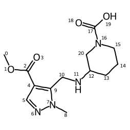 COC(=O)c1cnn(C)c1CNC1CCCN(C(=O)O)C1